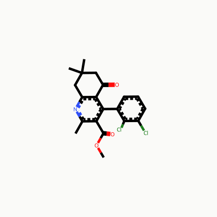 COC(=O)c1c(C)nc2c(c1-c1cccc(Cl)c1Cl)C(=O)CC(C)(C)C2